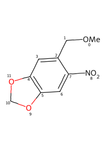 [CH2]OCc1cc2c(cc1[N+](=O)[O-])OCO2